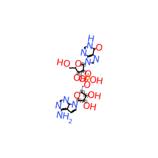 Nc1ncnc2c1ccn2[C@@H]1O[C@H](COP(=O)(O)O[C@@H]2[C@H](O)C(CO)O[C@H]2n2cnc3c(=O)[nH]cnc32)[C@@H](O)[C@H]1O